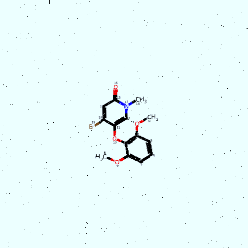 COc1cccc(OC)c1Oc1cn(C)c(=O)cc1Br